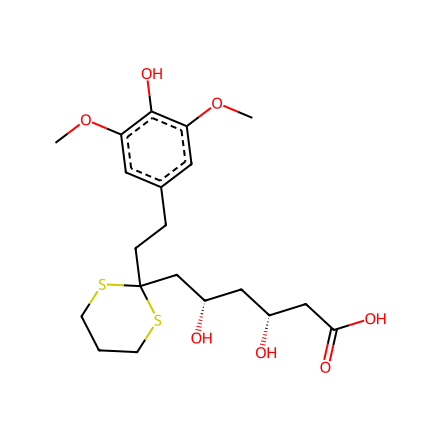 COc1cc(CCC2(C[C@@H](O)C[C@@H](O)CC(=O)O)SCCCS2)cc(OC)c1O